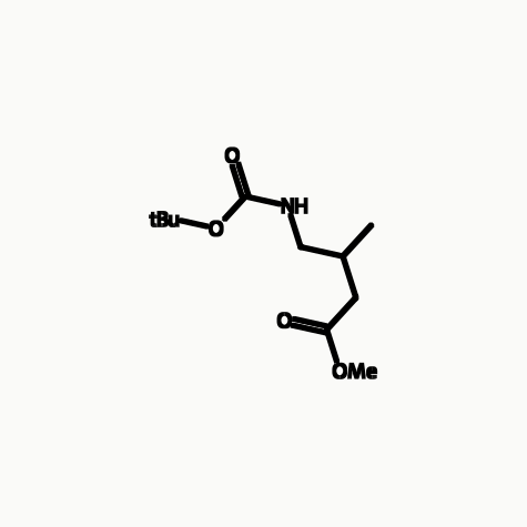 COC(=O)CC(C)CNC(=O)OC(C)(C)C